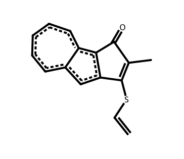 C=CSC1=C(C)C(=O)c2c1cc1cccccc2-1